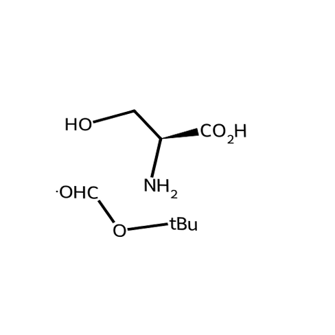 CC(C)(C)O[C]=O.N[C@@H](CO)C(=O)O